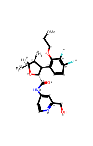 COCCOc1c([C@H]2[C@H](C(=O)Nc3ccnc(CO)c3)O[C@@](C)(C(F)(F)F)[C@H]2C)ccc(F)c1F